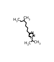 CCC(C)CCCCc1cn(C(C)C)nn1